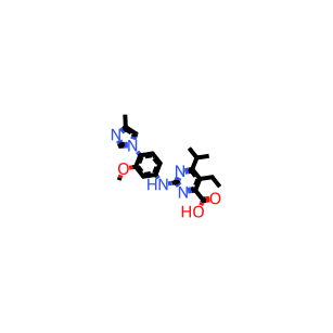 CCc1c(C(=O)O)nc(Nc2ccc(-n3cnc(C)c3)c(OC)c2)nc1C(C)C